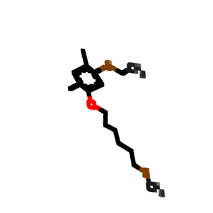 Cc1cc(C)c(SCC(F)(F)F)cc1OCCCCCCSC(F)(F)F